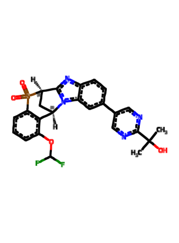 CC(C)(O)c1ncc(-c2ccc3nc4n(c3c2)[C@@H]2C[C@H]4S(=O)(=O)c3cccc(OC(F)F)c32)cn1